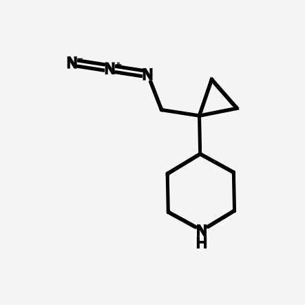 [N-]=[N+]=NCC1(C2CCNCC2)CC1